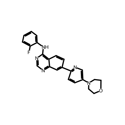 Fc1ccccc1Nc1ncnc2cc(-c3ccc(N4CCOCC4)cn3)ccc12